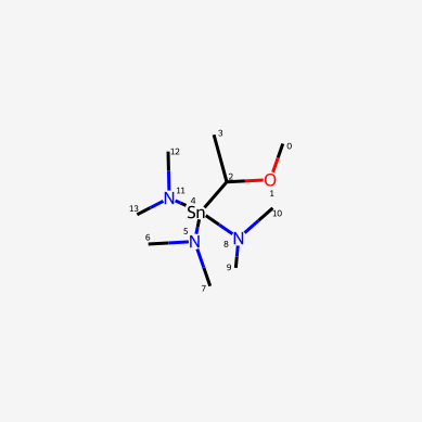 CO[CH](C)[Sn]([N](C)C)([N](C)C)[N](C)C